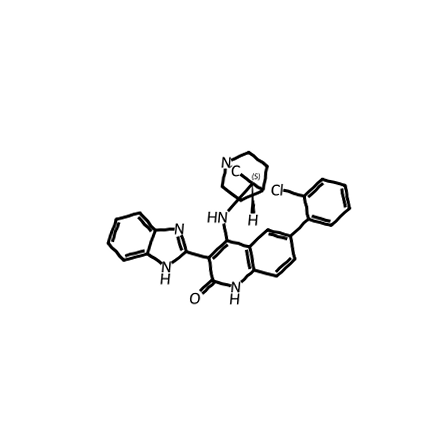 O=c1[nH]c2ccc(-c3ccccc3Cl)cc2c(N[C@@H]2CN3CCC2CC3)c1-c1nc2ccccc2[nH]1